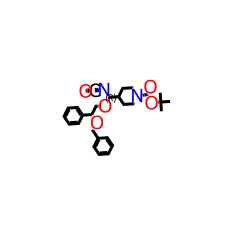 CC(C)(C)OC(=O)N1CCC([C@H](N=C=O)OCC(OCc2ccccc2)c2ccccc2)CC1